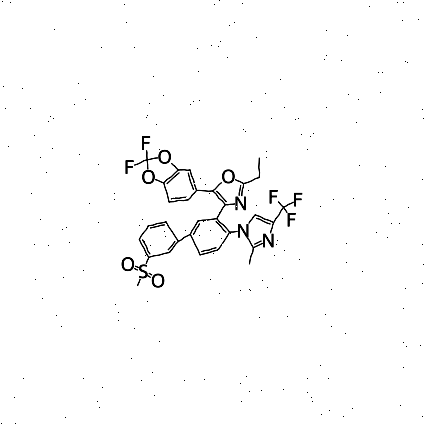 CCc1nc(-c2cc(-c3cccc(S(C)(=O)=O)c3)ccc2-n2cc(C(F)(F)F)nc2C)c(-c2ccc3c(c2)OC(F)(F)O3)o1